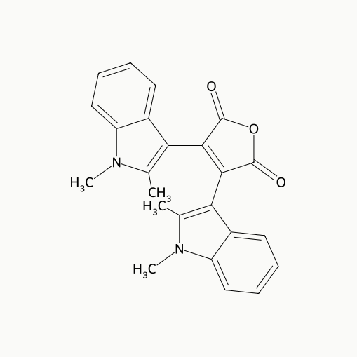 Cc1c(C2=C(c3c(C)n(C)c4ccccc34)C(=O)OC2=O)c2ccccc2n1C